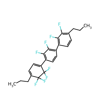 CCCC1=CC=C(c2ccc(-c3ccc(CCC)c(F)c3F)c(F)c2F)C(F)(F)C1(F)F